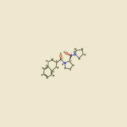 O=C([C@H]1CCCN1C(=O)C1CCc2ccccc2C1)N1CCCC1